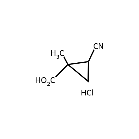 CC1(C(=O)O)CC1C#N.Cl